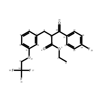 CCOC(=O)C(Cc1cccc(OCC(F)(F)F)c1)C(=O)c1ccc(F)cc1